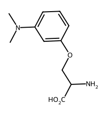 CN(C)c1cccc(OCC(N)C(=O)O)c1